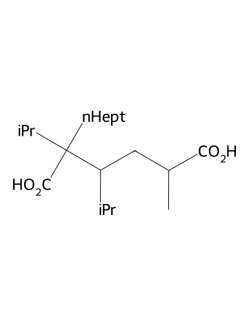 CCCCCCCC(C(=O)O)(C(C)C)C(CC(C)C(=O)O)C(C)C